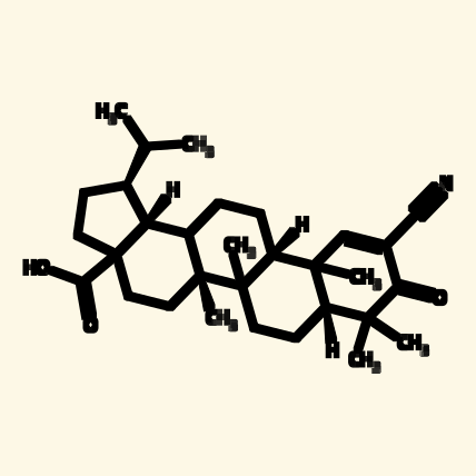 CC(C)[C@@H]1CCC2(C(=O)O)CC[C@]3(C)C(CC[C@@H]4C5(C)C=C(C#N)C(=O)C(C)(C)[C@@H]5CCC43C)[C@@H]12